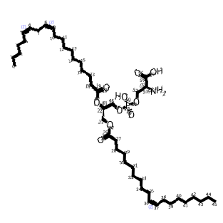 CCCCC/C=C\C/C=C\CCCCCCCCCC(=O)O[C@H](COC(=O)CCCCCCCCC/C=C\CCCCCCCC)COP(=O)(O)OC[C@H](N)C(=O)O